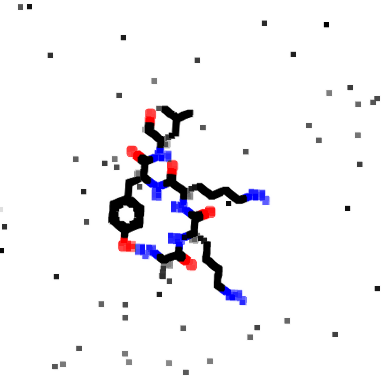 CC(C)C[C@@H]([C]=O)NC(=O)[C@H](Cc1ccc(O)cc1)NC(=O)[C@H](CCCCN)NC(=O)[C@H](CCCCN)NC(=O)[C@H](C)N